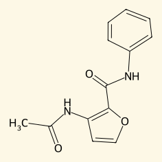 CC(=O)Nc1ccoc1C(=O)Nc1ccccc1